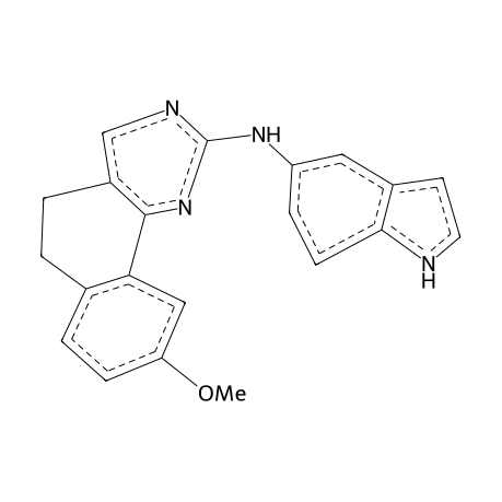 COc1ccc2c(c1)-c1nc(Nc3ccc4[nH]ccc4c3)ncc1CC2